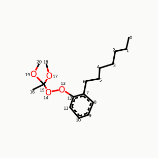 CCCCCCCc1ccccc1OOC(C)(OC)OC